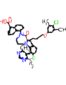 Cc1cc(OCCCc2c3n(c4c(-c5c(C)ncnc5C)c(Cl)ccc24)CCCN(c2cccc4c(C(=O)O)cccc24)C3=O)cc(C)c1Cl